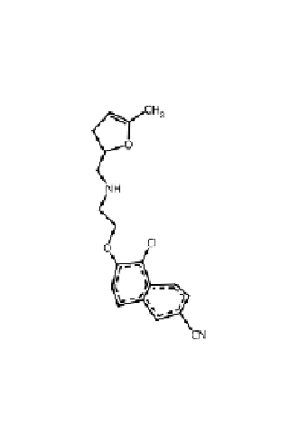 CC1=CCC(CNCCOc2ccc3cc(C#N)ccc3c2Cl)O1